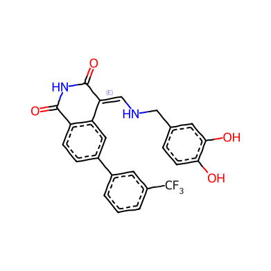 O=C1NC(=O)c2ccc(-c3cccc(C(F)(F)F)c3)cc2/C1=C\NCc1ccc(O)c(O)c1